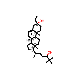 CC[C@]1(O)CC[C@@]2(C)C(=CC[C@H]3[C@@H]4CC[C@H]([C@H](C)CCC(O)C(C)(C)C)[C@@]4(C)CC[C@@H]32)C1